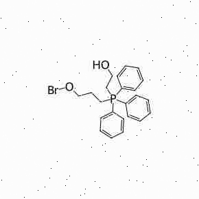 OCCP(CCCOBr)(c1ccccc1)(c1ccccc1)c1ccccc1